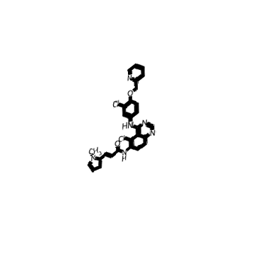 CN1CCCC1/C=C/C(=O)Nc1ccc2ncnc(Nc3ccc(OCc4ccccn4)c(Cl)c3)c2c1Cl